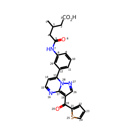 CC(CC(=O)O)CC(=O)Nc1cccc(-c2ccnc3c(C(=O)c4cccs4)cnn23)c1